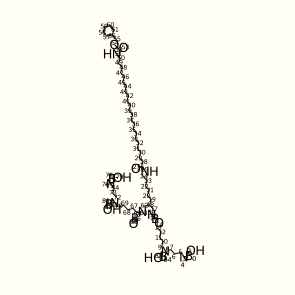 CB(O)N(C)CCCN(CCCCCO/B=N\CC(CCCCCCNC(=O)CCCCCCCCCCCCCCCCCCCCCCCNC(=O)OCc1ccccc1)CN=C(B=O)CCCCN(CCCN(C)B(C)O)B(C)O)B(C)O